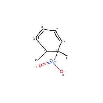 CC1C=CC=CC1(C)[N+](=O)[O-]